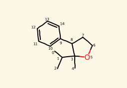 CC(C)C1(C)OCCC1c1ccccc1